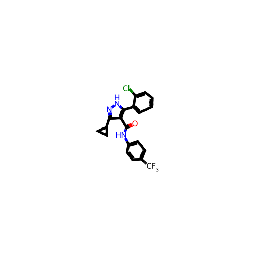 O=C(Nc1ccc(C(F)(F)F)cc1)c1c(C2CC2)n[nH]c1-c1ccccc1Cl